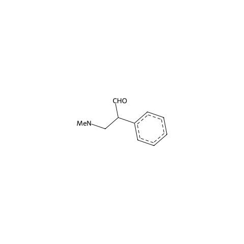 CNCC(C=O)c1ccccc1